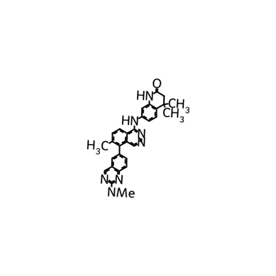 CNc1ncc2cc(-c3c(C)ccc4c(Nc5ccc6c(c5)NC(=O)CC6(C)C)nncc34)ccc2n1